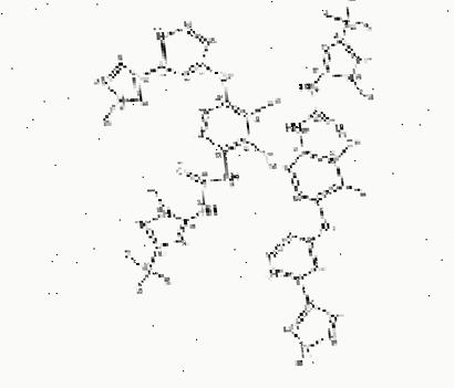 Cc1c(Oc2ccnc(-c3cnn(C)c3)c2)ccc(NC(=O)Nc2cc(C(C)(C)C)nn2C)c1F.Cn1cc(-c2cc(Oc3ccc(NC(=O)Nc4cc(C(C)(C)C)nn4C)c(F)c3F)ccn2)cn1